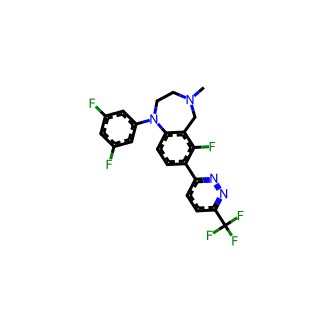 CN1CCN(c2cc(F)cc(F)c2)c2ccc(-c3ccc(C(F)(F)F)nn3)c(F)c2C1